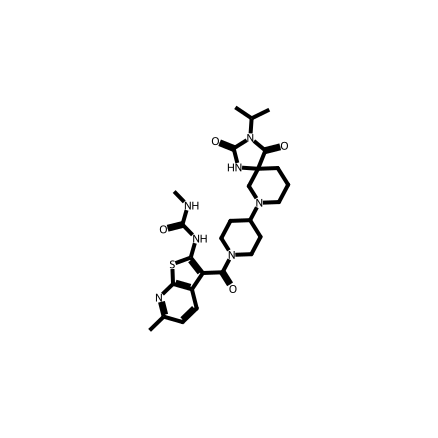 CNC(=O)Nc1sc2nc(C)ccc2c1C(=O)N1CCC(N2CCCC3(C2)NC(=O)N(C(C)C)C3=O)CC1